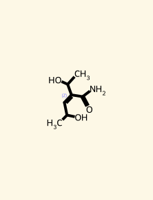 CC(O)/C=C(\C(N)=O)C(C)O